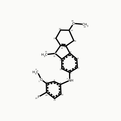 COc1cc(Nc2ccc3c(c2)I(C)C2=C3CC(OC)CC2)ccc1F